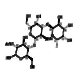 CC(=O)N[C@H]1[C@H](O[C@H]2[C@H](O)[C@@H](NC(C)=O)C(O)O[C@@H]2CO)O[C@H](CO)[C@H](O)[C@@H]1O[C@@H]1O[C@@H](C)[C@@H](O)[C@@H](O)[C@@H]1O